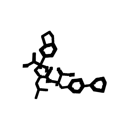 CC(C)CN(C[C@](O)(C(=O)O)c1ccc2c(c1)CCC2)C(=O)N[C@@H](Cc1ccc(-c2ccccc2)cc1)C(=O)O